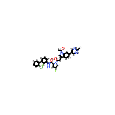 CC(=O)n1cc(CC(=O)N2C[C@H](F)C[C@H]2C(=O)Nc2cccc(-c3ccccc3Cl)c2F)c2ccc(-c3cnc(C)nc3)cc21